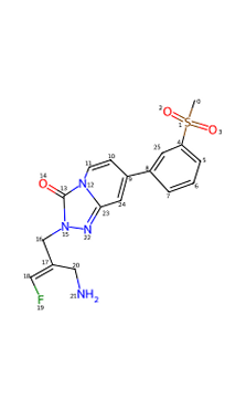 CS(=O)(=O)c1cccc(-c2ccn3c(=O)n(C/C(=C/F)CN)nc3c2)c1